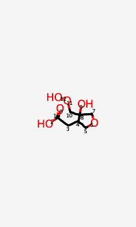 O=C(O)CC1COCC1(O)COO